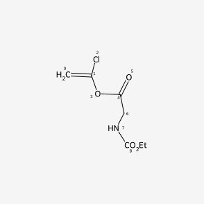 C=C(Cl)OC(=O)CNC(=O)OCC